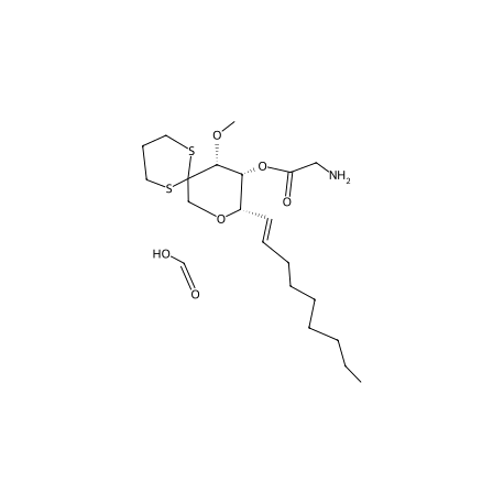 CCCCCCC/C=C/[C@@H]1OCC2(SCCCS2)[C@H](OC)[C@@H]1OC(=O)CN.O=CO